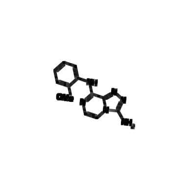 COc1ccccc1Nc1nccn2c(N)nnc12